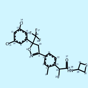 Cc1cc(C2=NOC(c3cc(Cl)cc(Cl)c3)(C(F)(F)F)C2)ccc1C(F)C(=O)NC1CSC1